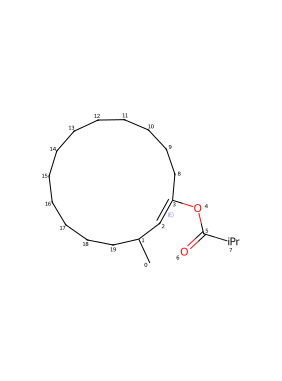 CC1/C=C(/OC(=O)C(C)C)CCCCCCCCCCCC1